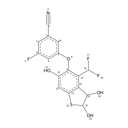 N#Cc1cc(F)cc(Oc2c(O)cc3c(c2C(F)F)C(O)C(O)S3)c1